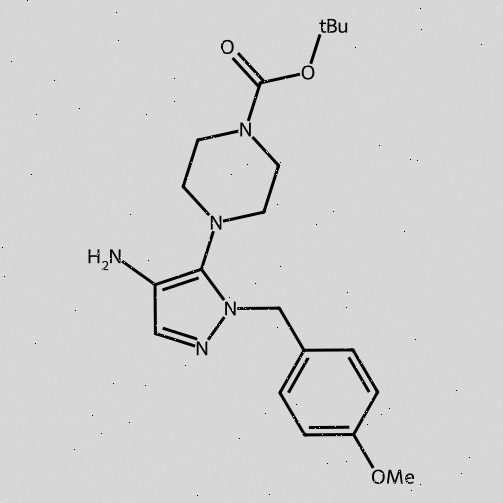 COc1ccc(Cn2ncc(N)c2N2CCN(C(=O)OC(C)(C)C)CC2)cc1